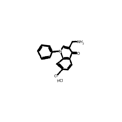 Cl.NCc1cn(-c2ccccc2)c2cc(Cl)ccc2c1=O